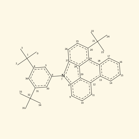 CC(C)(C)c1cc(-n2c3cccc4c5ccccc5c5c(C(C)(C)C)ccc2c5c43)cc(C(C)(C)C)c1